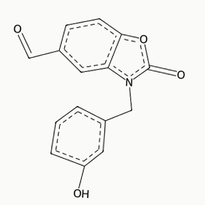 O=Cc1ccc2oc(=O)n(Cc3cccc(O)c3)c2c1